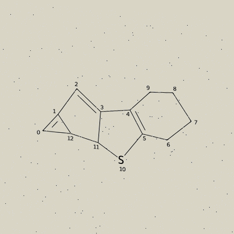 C1=C2C=C3C4=C(CCCC4)SC3C12